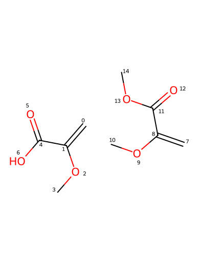 C=C(OC)C(=O)O.C=C(OC)C(=O)OC